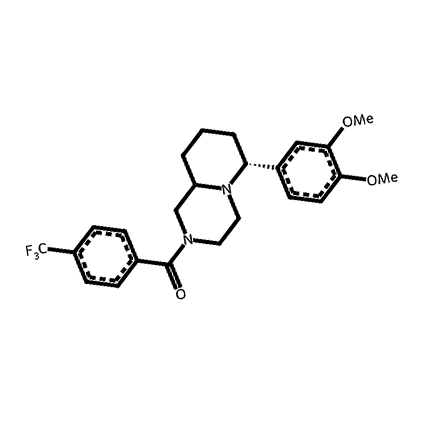 COc1ccc([C@H]2CCCC3CN(C(=O)c4ccc(C(F)(F)F)cc4)CCN32)cc1OC